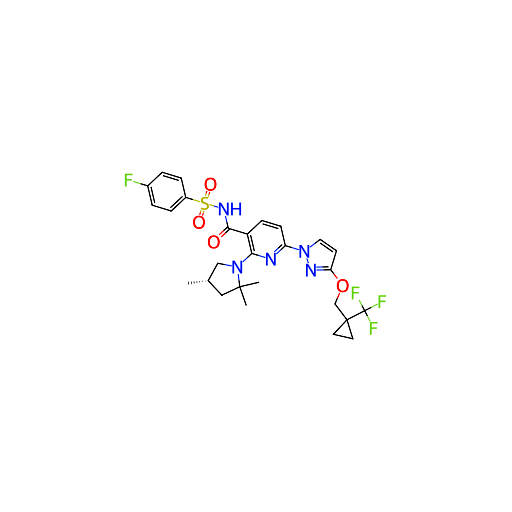 C[C@@H]1CN(c2nc(-n3ccc(OCC4(C(F)(F)F)CC4)n3)ccc2C(=O)NS(=O)(=O)c2ccc(F)cc2)C(C)(C)C1